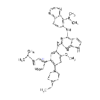 CCN1CCN(c2cc(OC)c(Nc3nc(Nc4ccc5nccnc5c4P(C)C)c4cc[nH]c4n3)cc2/C(C=N)=C/NC(C)C)CC1